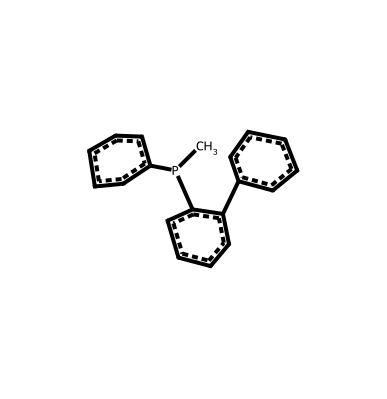 CP(c1ccccc1)c1ccccc1-c1ccccc1